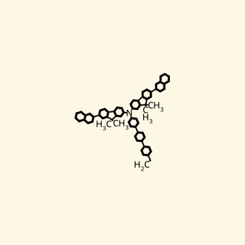 C=Cc1ccc(-c2ccc(-c3ccc(N(c4ccc5c(c4)C(C)(C)c4cc(-c6ccc7ccccc7c6)ccc4-5)c4ccc5c(c4)C(C)(C)c4cc(-c6ccc7ccccc7c6)ccc4-5)cc3)cc2)cc1